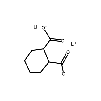 O=C([O-])C1CCCCC1C(=O)[O-].[Li+].[Li+]